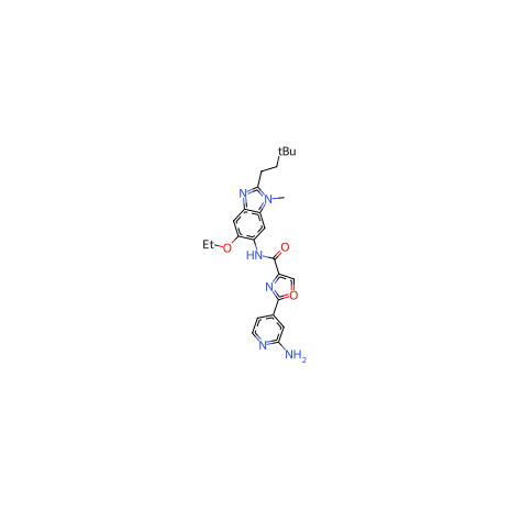 CCOc1cc2nc(CCC(C)(C)C)n(C)c2cc1NC(=O)c1coc(-c2ccnc(N)c2)n1